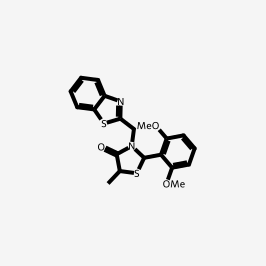 COc1cccc(OC)c1C1SC(C)C(=O)N1Cc1nc2ccccc2s1